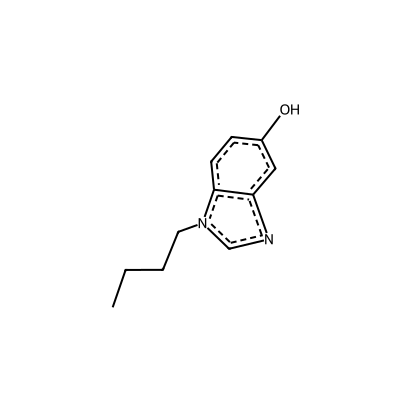 CCCCn1cnc2cc(O)ccc21